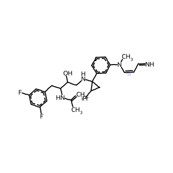 C=C(C)NC(Cc1cc(F)cc(F)c1)C(O)CNC1(c2cccc(N(C)/C=C\C=N)c2)CC1C(C)C